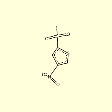 CS(=O)(=O)c1cc([N+](=O)[O-])[c]s1